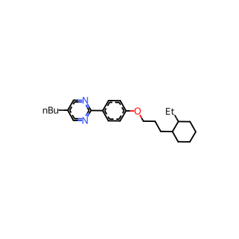 CCCCc1cnc(-c2ccc(OCCCC3CCCCC3CC)cc2)nc1